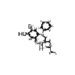 CCCC[C@@]1(CC)CN(c2ccccc2)c2cc(Br)c(O)cc2SN1